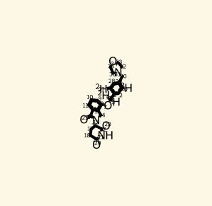 [2H]c1cc(C([2H])([2H])Oc2cccc3c2CN(C2CCC(=O)NC2=O)C3=O)c([2H])cc1CN1CCOCC1